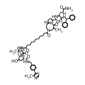 Cc1ncsc1-c1ccc(CNC(=O)[C@@H]2C[C@@H](O)CN2C(=O)[C@@H](NC(=O)CCCCCCCCCC(=O)N2CC[C@H]3CC[C@@H](C(=O)N[C@@H](CCC(N)=O)C(=O)NC(c4ccccc4)c4ccccc4)N3C(=O)[C@@H](C)C2)C(C)(C)C)cc1